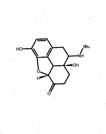 CC(C)(C)NC1Cc2ccc(O)c3c2C2[C@@H](O3)C(=O)CC[C@@]12O